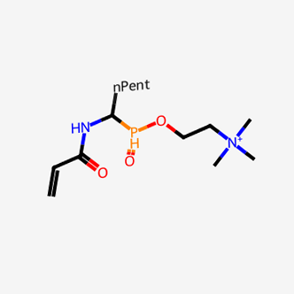 C=CC(=O)NC(CCCCC)[PH](=O)OCC[N+](C)(C)C